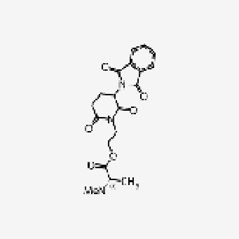 CN[C@@H](C)C(=O)OCCN1C(=O)CCC(N2C(=O)c3ccccc3C2=O)C1=O